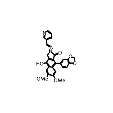 COc1cc2c(O)c3c(c(-c4ccc5c(c4)OCO5)c2cc1OC)C(=O)N(N=Cc1cccnc1)C3